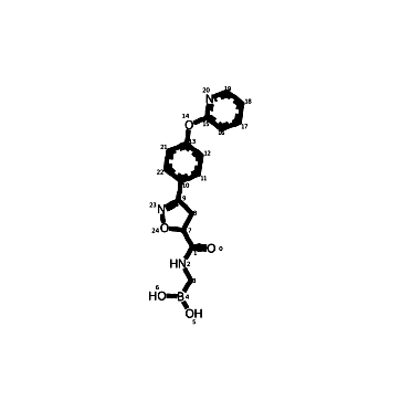 O=C(NCB(O)O)C1CC(c2ccc(Oc3ccccn3)cc2)=NO1